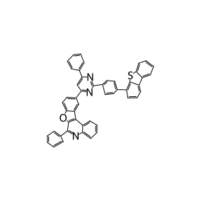 c1ccc(-c2cc(-c3ccc4oc5c(-c6ccccc6)nc6ccccc6c5c4c3)nc(-c3ccc(-c4cccc5c4sc4ccccc45)cc3)n2)cc1